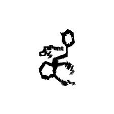 CCCCCC.NC1C=CC=CC1(N)C=Cc1ccccc1